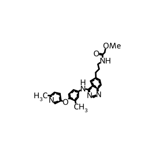 COCC(=O)NCCCc1ccc2ncnc(Nc3ccc(Oc4ccc(C)nc4)c(C)c3)c2c1